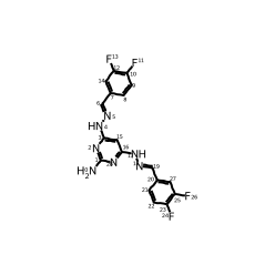 Nc1nc(NN=Cc2ccc(F)c(F)c2)cc(NN=Cc2ccc(F)c(F)c2)n1